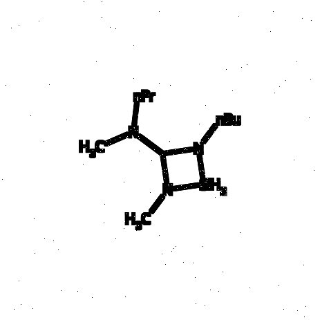 CCCCN1[SiH2]N(C)C1N(C)CCC